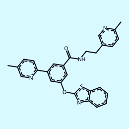 Cc1ccc(-c2cc(Oc3nc4ccccc4s3)cc(C(=O)NCCc3ccc(C)nc3)c2)nc1